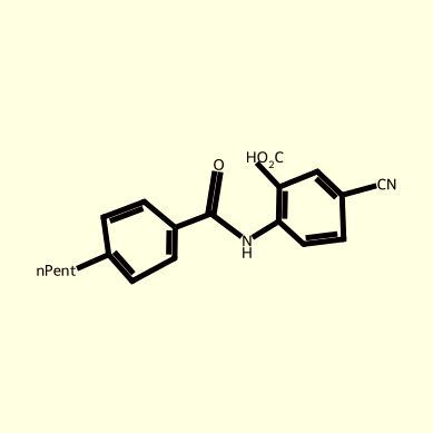 CCCCCc1ccc(C(=O)Nc2ccc(C#N)cc2C(=O)O)cc1